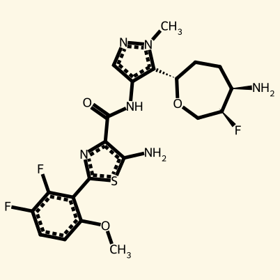 COc1ccc(F)c(F)c1-c1nc(C(=O)Nc2cnn(C)c2[C@@H]2CC[C@@H](N)[C@@H](F)CO2)c(N)s1